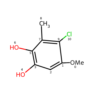 COc1cc(O)c(O)c(C)c1Cl